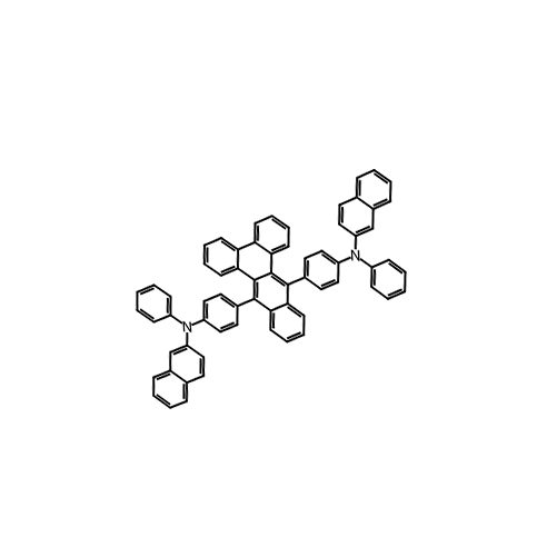 c1ccc(N(c2ccc(-c3c4ccccc4c(-c4ccc(N(c5ccccc5)c5ccc6ccccc6c5)cc4)c4c5ccccc5c5ccccc5c34)cc2)c2ccc3ccccc3c2)cc1